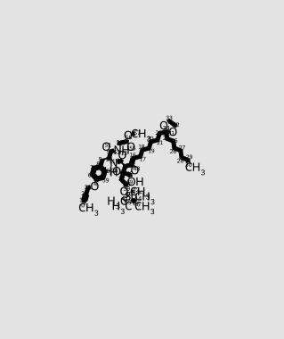 CC#CCOc1ccc(C[C@H](NC(=O)[C@@H](/C=C/CCCCCCC2(CCCCCCC)OCCO2)[C@@](O)(CCO[Si](C)(C)C(C)(C)C)C(=O)O)C(=O)NCC(=O)OC)cc1